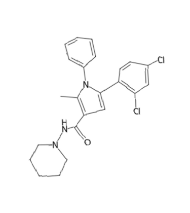 Cc1c(C(=O)NN2CCCCC2)cc(-c2ccc(Cl)cc2Cl)n1-c1ccccc1